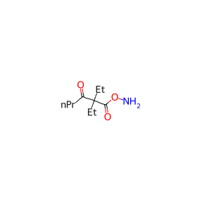 CCCC(=O)C(CC)(CC)C(=O)ON